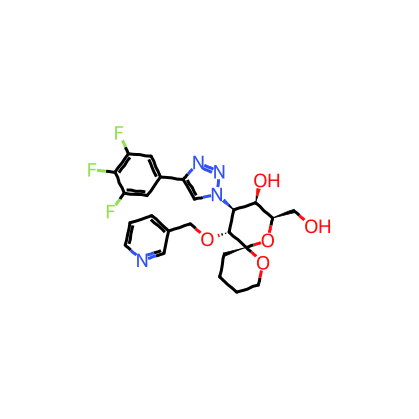 OC[C@H]1O[C@@]2(CCCCO2)[C@H](OCc2cccnc2)[C@@H](n2cc(-c3cc(F)c(F)c(F)c3)nn2)[C@H]1O